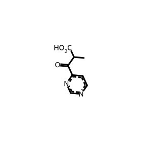 CC(C(=O)O)C(=O)c1ccncn1